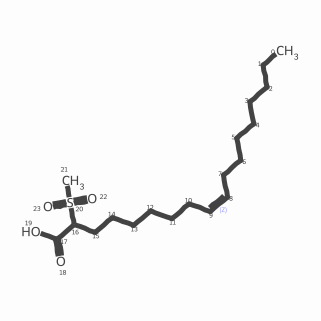 CCCCCCCC/C=C\CCCCCCC(C(=O)O)S(C)(=O)=O